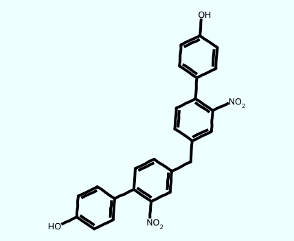 O=[N+]([O-])c1cc(Cc2ccc(-c3ccc(O)cc3)c([N+](=O)[O-])c2)ccc1-c1ccc(O)cc1